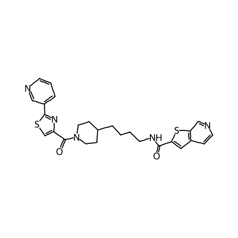 O=C(NCCCCC1CCN(C(=O)c2csc(-c3cccnc3)n2)CC1)c1cc2ccncc2s1